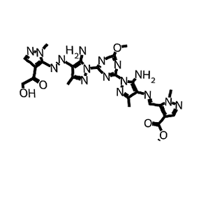 COC(=O)c1cnn(C)c1/C=N/c1c(C)nn(-c2nc(OC)nc(-n3nc(C)c(/N=N/c4c(C(=O)CO)cnn4C)c3N)n2)c1N